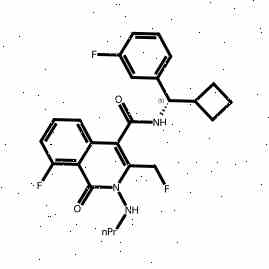 CCCNn1c(CF)c(C(=O)N[C@H](c2cccc(F)c2)C2CCC2)c2cccc(F)c2c1=O